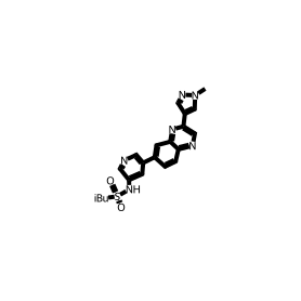 CCC(C)S(=O)(=O)Nc1cncc(-c2ccc3ncc(-c4cnn(C)c4)nc3c2)c1